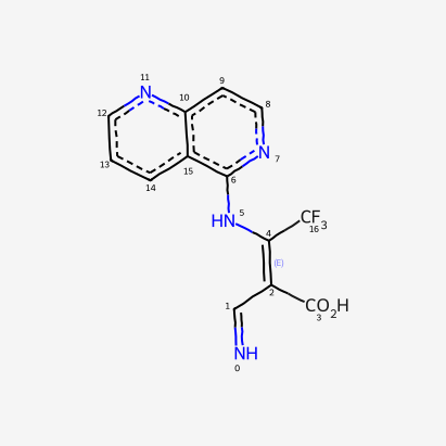 N=C/C(C(=O)O)=C(\Nc1nccc2ncccc12)C(F)(F)F